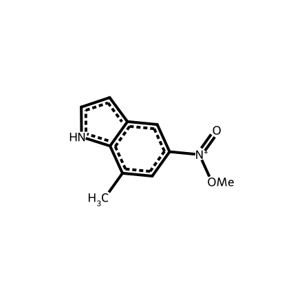 CO[N+](=O)c1cc(C)c2[nH]ccc2c1